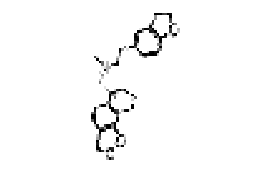 CN(CCc1ccc2c(c1)CCO2)C[C@@H]1CCCc2c1ccc1c2OOC1